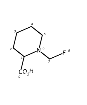 O=C(O)C1CCCCN1CF